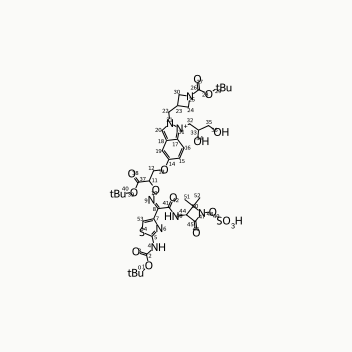 CC(C)(C)OC(=O)Nc1nc(/C(=N/OC(COc2ccc3c(c2)cn(CC2CN(C(=O)OC(C)(C)C)C2)[n+]3CC(O)CO)C(=O)OC(C)(C)C)C(=O)N[C@@H]2C(=O)N(OS(=O)(=O)O)C2(C)C)cs1